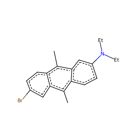 CCN(CC)c1ccc2c(C)c3cc(Br)ccc3c(C)c2c1